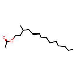 CCCCCCCCC=CCC(C)CCOC(C)=O